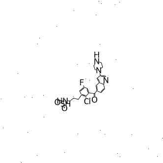 O=C(c1ccc2ncc(N3CCNCC3)cc2c1)c1cc(F)cc(CCCN[SH](=O)=O)c1Cl